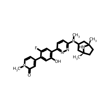 CN(c1ccc(-c2cc(F)c(-c3ccn(C)c(=O)c3)cc2O)nn1)C1C[C@]2(C)CC[C@](C)(C1)N2